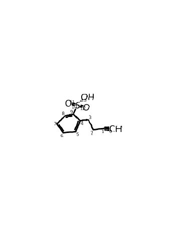 C#CCCc1ccccc1S(=O)(=O)O